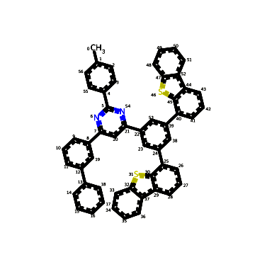 Cc1ccc(-c2nc(-c3cccc(-c4ccccc4)c3)cc(-c3cc(-c4cccc5c4sc4ccccc45)cc(-c4cccc5c4sc4ccccc45)c3)n2)cc1